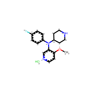 COc1ccncc1N(c1ccc(F)cc1)C1CCNCC1.Cl